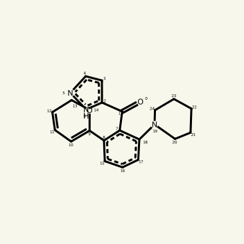 O=C(c1ccn[nH]1)c1c(C2=CC=CCO2)cccc1N1CCCCC1